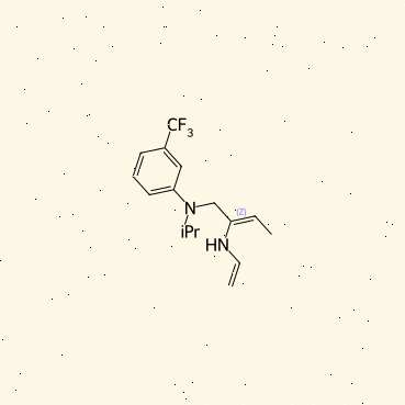 C=CN/C(=C\C)CN(c1cccc(C(F)(F)F)c1)C(C)C